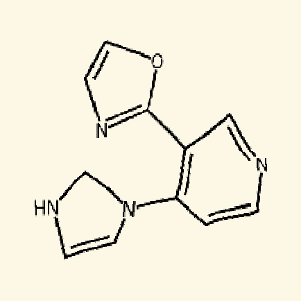 C1=CN(c2ccncc2-c2ncco2)CN1